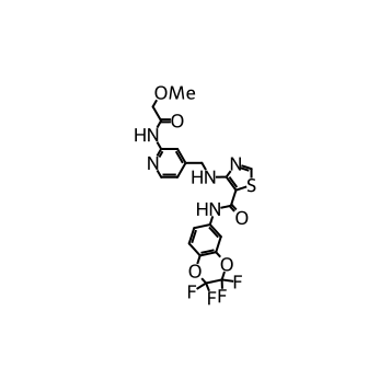 COCC(=O)Nc1cc(CNc2ncsc2C(=O)Nc2ccc3c(c2)OC(F)(F)C(F)(F)O3)ccn1